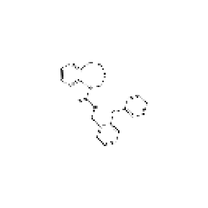 S=C(NCc1ccccc1Oc1ccccc1)N1CCCCc2ccccc21